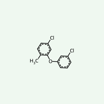 Cc1ccc(Cl)cc1Oc1cccc(Cl)c1